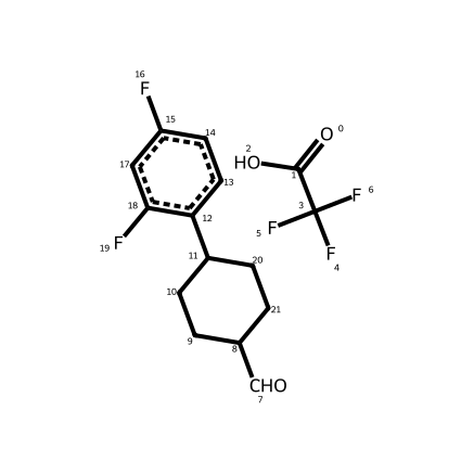 O=C(O)C(F)(F)F.O=CC1CCC(c2ccc(F)cc2F)CC1